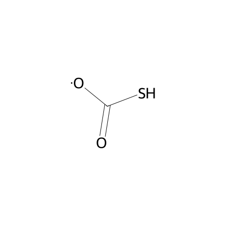 [O]C(=O)S